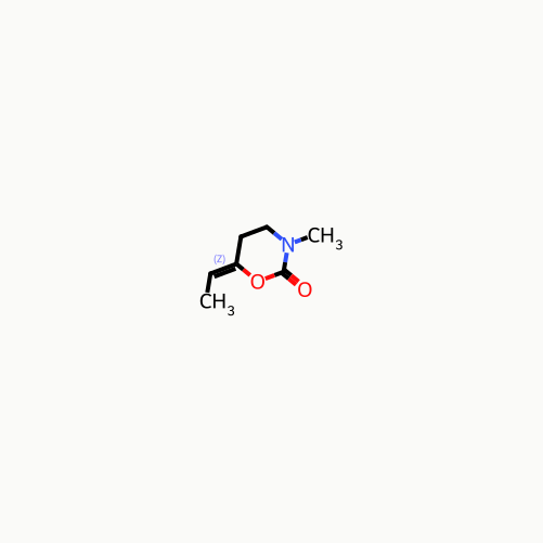 C/C=C1/CCN(C)C(=O)O1